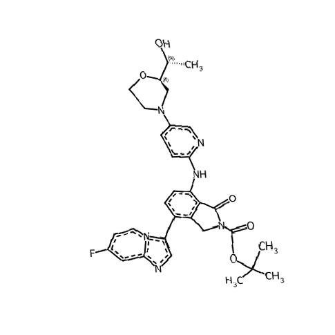 C[C@@H](O)[C@H]1CN(c2ccc(Nc3ccc(-c4cnc5cc(F)ccn45)c4c3C(=O)N(C(=O)OC(C)(C)C)C4)nc2)CCO1